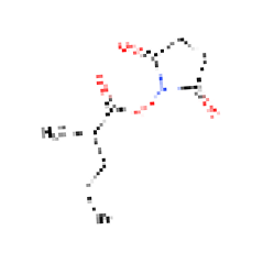 CC(C)CCC(C)C(=O)ON1C(=O)CCC1=O